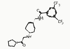 O=C(NC[C@H]1CC[C@@H](NCC(=O)N2CCCC2)CC1)c1cc(C(F)(F)F)cc(C(F)(F)F)c1